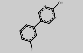 Oc1ncc(-c2cccc(F)c2)cn1